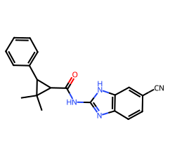 CC1(C)C(C(=O)Nc2nc3ccc(C#N)cc3[nH]2)C1c1ccccc1